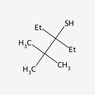 CCC(S)(CC)C(C)(C)C